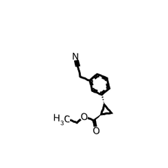 CCOC(=O)[C@@H]1C[C@H]1c1cccc(CC#N)c1